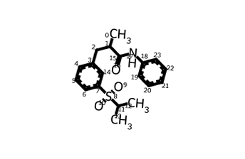 CC(Cc1cccc(S(=O)(=O)C(C)C)c1)C(=O)Nc1ccccc1